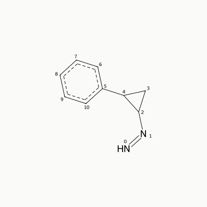 N=NC1CC1c1ccccc1